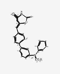 O=C1NC(=O)C(=Cc2ccc(-c3cccc(N(C(=O)O)c4ccccc4)c3)cc2)S1